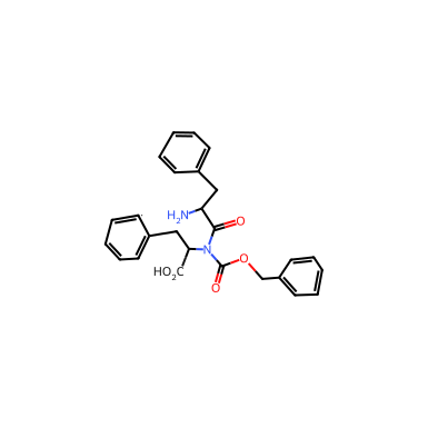 NC(Cc1ccccc1)C(=O)N(C(=O)OCc1ccccc1)C(Cc1[c]cccc1)C(=O)O